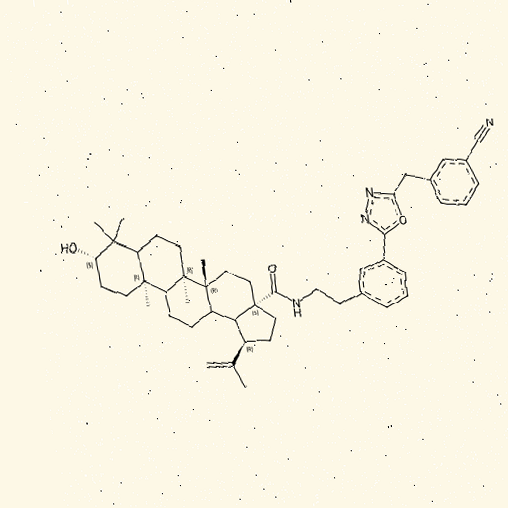 C=C(C)[C@@H]1CC[C@]2(C(=O)NCCc3cccc(-c4nnc(Cc5cccc(C#N)c5)o4)c3)CC[C@]3(C)C(CCC4[C@@]5(C)CC[C@H](O)C(C)(C)C5CC[C@]43C)C12